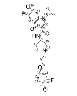 O=C(NC1CCN(CCCOc2ccc(Cl)c(F)c2)CC1)c1cn(C2CC2)c2cc(Cl)c(F)cc2c1=O